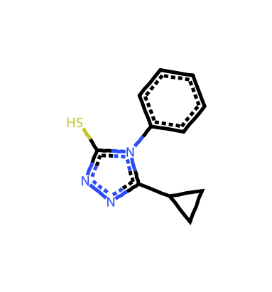 Sc1nnc(C2CC2)n1-c1ccccc1